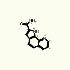 NC(=O)c1cc2ccc3cccnc3c2[nH]1